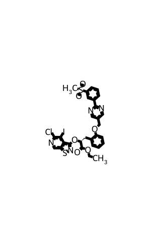 CCOC(=O)[C@@H](Cc1ccccc1OCc1cnc(-c2cccc(S(C)(=O)=O)c2)nc1)Oc1nsc2cnc(Cl)c(I)c12